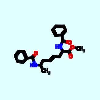 COC(=O)C(CC=CCC(C)NC(=O)c1ccccc1)NC(=O)c1ccccc1